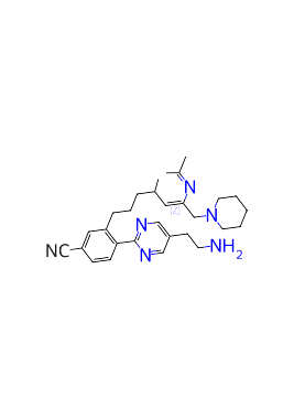 CC(C)=N/C(=C\C(C)CCCc1cc(C#N)ccc1-c1ncc(CCN)cn1)CN1CCCCC1